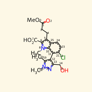 COC(=O)CCc1c(C(=O)O)n(C)c2c(-c3c(CO)nn(C)c3C)c(Cl)ccc12